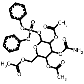 CC(=O)OCC1OC(OP(=O)(Oc2ccccc2)Oc2ccccc2)C(OC(C)=O)C(OC(N)=O)C1OC(C)=O